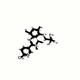 CCN(C)/C(=N\c1cc(SCC(F)(F)F)c(C)cc1C)c1ccc(Cl)nc1